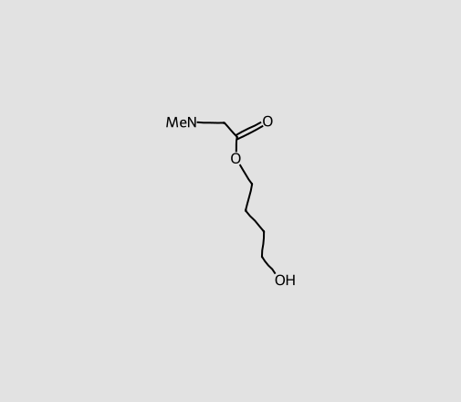 CNCC(=O)OCCCCO